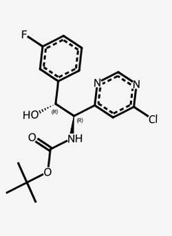 CC(C)(C)OC(=O)N[C@H](c1cc(Cl)ncn1)[C@H](O)c1cccc(F)c1